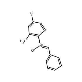 Cc1cc(Cl)ccc1[N+]([O-])=Cc1ccccc1